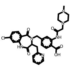 CN1CCN(CC(=O)Nc2cc(CN3C(=O)c4ccc(Cl)cc4NC(=O)C3Cc3ccccn3)ccc2C(=O)O)CC1